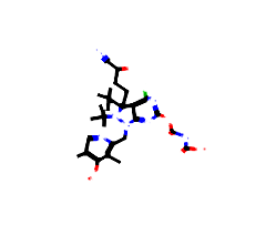 COc1c(C)cnc(CN2c3nc(OC(=O)NC(=O)O)nc(Cl)c3C(CCC(O)C#N)(C(C)(C)C)N2C(C)(C)C)c1C